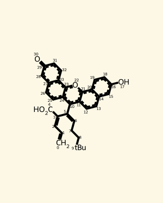 C=C/C=C(C(=O)O)\C(=C/CCC(C)(C)C)c1c2ccc3cc(O)ccc3c2oc2c1ccc1cc(=O)ccc12